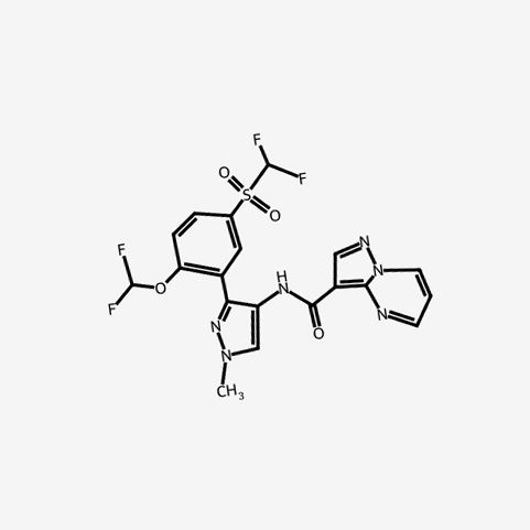 Cn1cc(NC(=O)c2cnn3cccnc23)c(-c2cc(S(=O)(=O)C(F)F)ccc2OC(F)F)n1